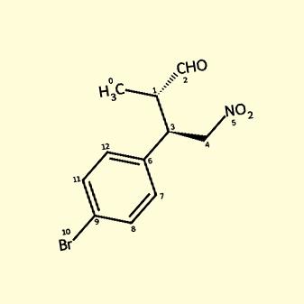 C[C@H](C=O)[C@@H](C[N+](=O)[O-])c1ccc(Br)cc1